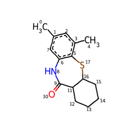 Cc1cc(C)c2c(c1)NC(=O)C1CCCCC1S2